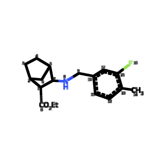 CCOC(=O)C1C2CCC(C2)C1NCc1ccc(C)c(F)c1